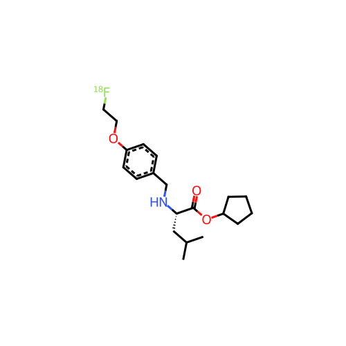 CC(C)C[C@H](NCc1ccc(OCC[18F])cc1)C(=O)OC1CCCC1